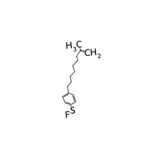 C=C(C)CCCCCCCc1ccc(SF)cc1